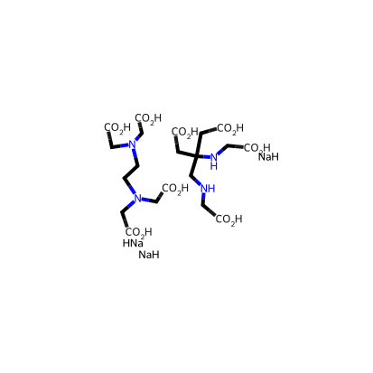 O=C(O)CN(CCN(CC(=O)O)CC(=O)O)CC(=O)O.O=C(O)CNCC(CC(=O)O)(CC(=O)O)NCC(=O)O.[NaH].[NaH].[NaH]